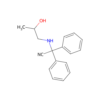 CC(O)CNC(C#N)(c1ccccc1)c1ccccc1